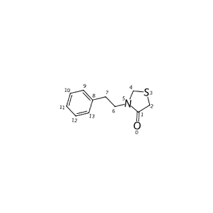 O=C1CSCN1CCc1ccccc1